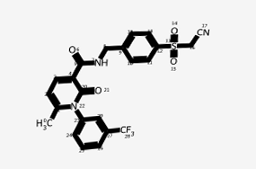 Cc1ccc(C(=O)NCc2ccc(S(=O)(=O)CC#N)cc2)c(=O)n1-c1cccc(C(F)(F)F)c1